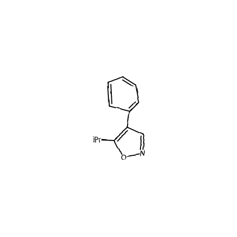 CC(C)c1oncc1-c1ccccc1